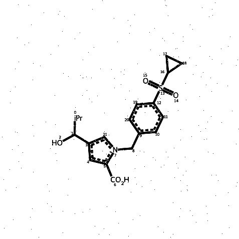 CC(C)C(O)c1cc(C(=O)O)n(Cc2ccc(S(=O)(=O)C3CC3)cc2)c1